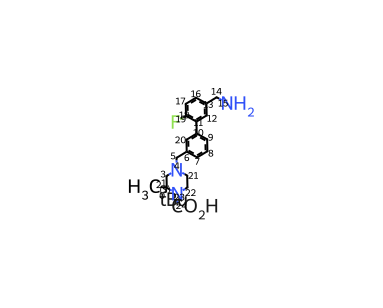 CC(C)(C)[C@@]1(C)CN(Cc2cccc(-c3cc(CN)ccc3F)c2)CCN1C(=O)O